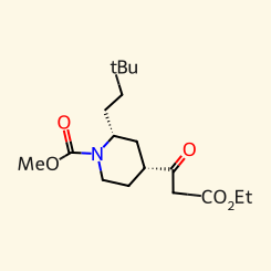 CCOC(=O)CC(=O)[C@@H]1CCN(C(=O)OC)[C@H](CCC(C)(C)C)C1